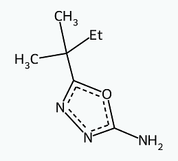 CCC(C)(C)c1nnc(N)o1